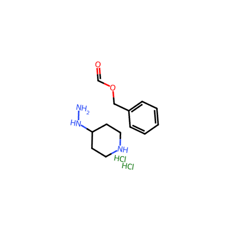 Cl.Cl.NNC1CCNCC1.O=COCc1ccccc1